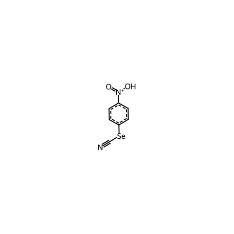 N#C[Se]c1ccc([N+](=O)O)cc1